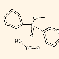 COP(=O)(c1ccccc1)c1ccccc1.O=PO